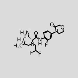 CC(C)CN(CC(F)F)[C@H](CN)C(=O)Nc1ccc(N2CCOCC2=O)cc1F